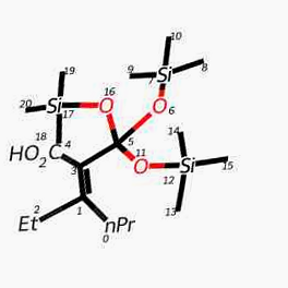 CCCC(CC)=C(C(=O)O)C(O[Si](C)(C)C)(O[Si](C)(C)C)O[Si](C)(C)C